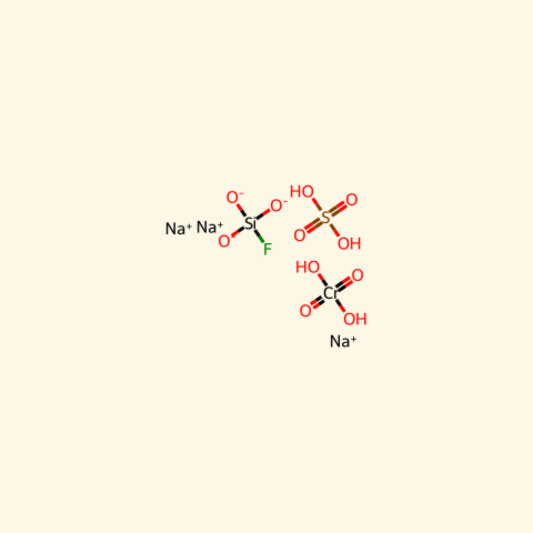 O=S(=O)(O)O.[Na+].[Na+].[Na+].[O-][Si]([O-])([O-])F.[O]=[Cr](=[O])([OH])[OH]